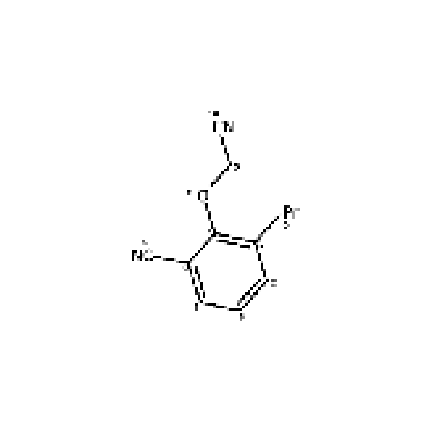 CC(C)c1cccc(C#N)c1OCC#N